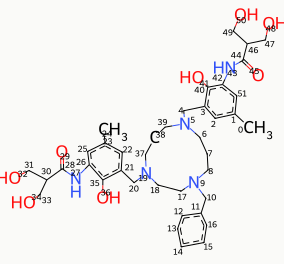 Cc1cc(CN2CCCN(Cc3ccccc3)CCN(Cc3cc(C)cc(NC(=O)C(CO)CO)c3O)CCC2)c(O)c(NC(=O)C(CO)CO)c1